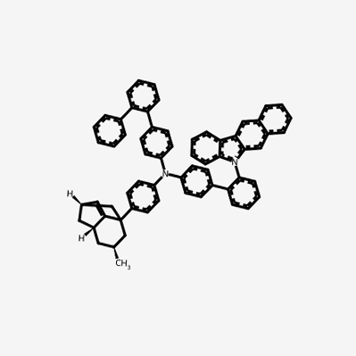 C[C@H]1C[C@@H]2C[C@@H]3C=C2C(c2ccc(N(c4ccc(-c5ccccc5-c5ccccc5)cc4)c4ccc(-c5ccccc5-n5c6ccccc6c6cc7ccccc7cc65)cc4)cc2)(C1)C3